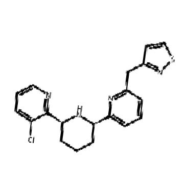 Clc1cccnc1[C@@H]1CCC[C@H](c2cccc(Cc3ccsn3)n2)N1